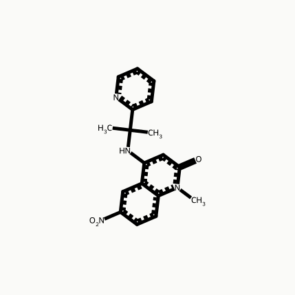 Cn1c(=O)cc(NC(C)(C)c2ccccn2)c2cc([N+](=O)[O-])ccc21